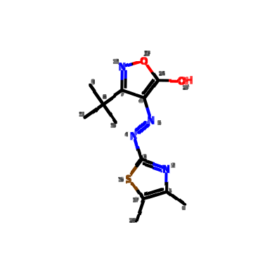 Cc1nc(N=Nc2c(C(C)(C)C)noc2O)sc1C